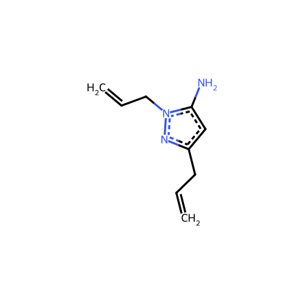 C=CCc1cc(N)n(CC=C)n1